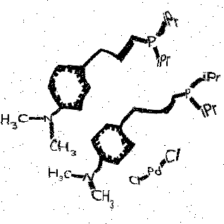 CC(C)P(C=CCc1ccc(N(C)C)cc1)C(C)C.CC(C)P(C=CCc1ccc(N(C)C)cc1)C(C)C.[Cl][Pd][Cl]